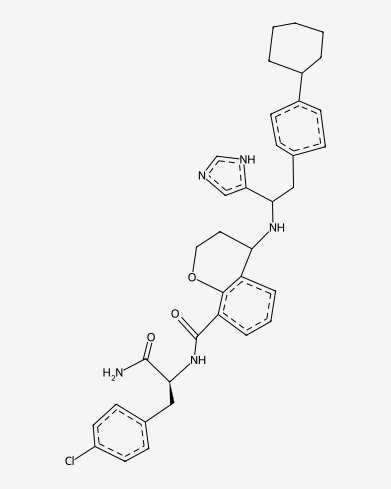 NC(=O)[C@H](Cc1ccc(Cl)cc1)NC(=O)c1cccc2c1OCCC2NC(Cc1ccc(C2CCCCC2)cc1)c1cnc[nH]1